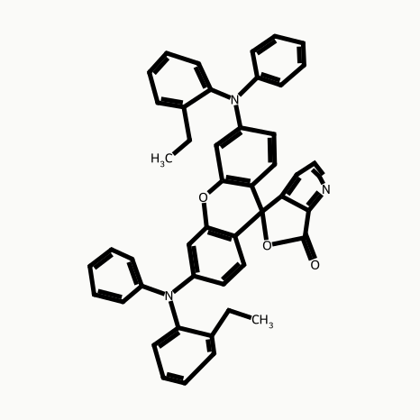 CCc1ccccc1N(c1ccccc1)c1ccc2c(c1)Oc1cc(N(c3ccccc3)c3ccccc3CC)ccc1C21OC(=O)c2ncccc21